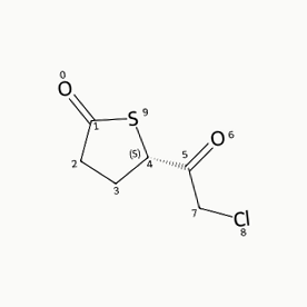 O=C1CC[C@@H](C(=O)CCl)S1